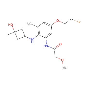 CC1(O)CC(Nc2c(NC(=O)COC(C)(C)C)cc(OCCBr)cc2C(F)(F)F)C1